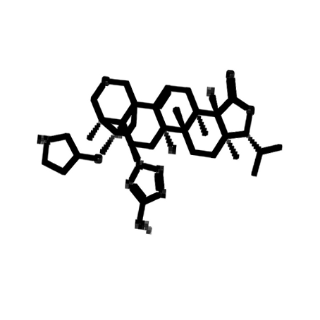 CC(C)[C@H]1OC(=O)[C@@H]2[C@]1(C)CC[C@]1(C)[C@H]3CC[C@@H]4C5(COC[C@]4(C)[C@@H](OC4CCNC4)[C@H](n4nnc(N)n4)C5)C3=CC[C@@]21C